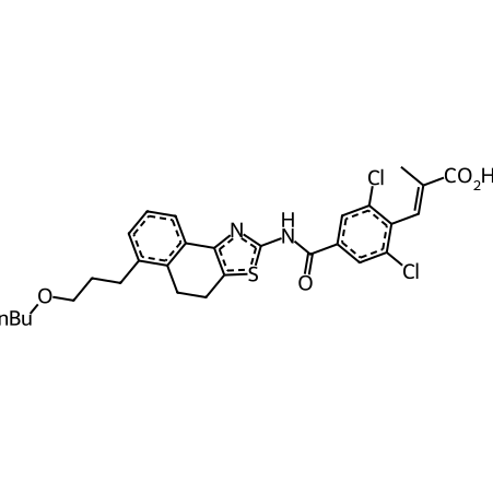 CCCCOCCCc1cccc2c1CCc1sc(NC(=O)c3cc(Cl)c(/C=C(\C)C(=O)O)c(Cl)c3)nc1-2